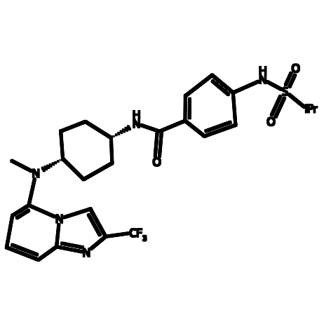 CC(C)S(=O)(=O)Nc1ccc(C(=O)N[C@H]2CC[C@@H](N(C)c3cccc4nc(C(F)(F)F)cn34)CC2)cc1